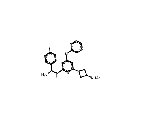 CC(=O)NC1CN(c2cc(Nc3cnccn3)nc(N[C@@H](C)c3ccc(F)cc3)n2)C1